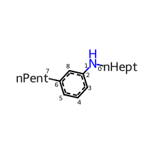 CCCCCCCNc1cccc(CCCCC)c1